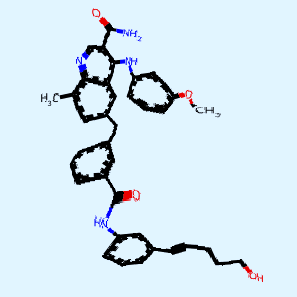 COc1cccc(Nc2c(C(N)=O)cnc3c(C)cc(Cc4cccc(C(=O)Nc5cccc(C#CCCCO)c5)c4)cc23)c1